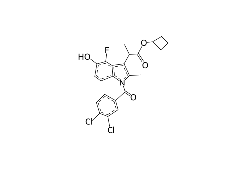 Cc1c(C(C)C(=O)OC2CCC2)c2c(F)c(O)ccc2n1C(=O)c1ccc(Cl)c(Cl)c1